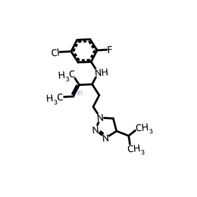 C/C=C(\C)C(CCN1CC(C(C)C)N=N1)Nc1cc(Cl)ccc1F